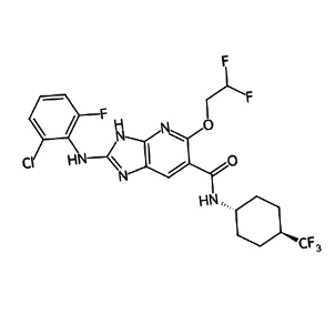 O=C(N[C@H]1CC[C@H](C(F)(F)F)CC1)c1cc2nc(Nc3c(F)cccc3Cl)[nH]c2nc1OCC(F)F